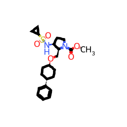 COC(=O)N1CC[C@H](NS(=O)(=O)C2CC2)[C@@H]1CO[C@H]1CC[C@@H](c2ccccc2)CC1